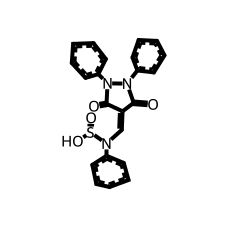 O=C1C(=CN(c2ccccc2)S(=O)O)C(=O)N(c2ccccc2)N1c1ccccc1